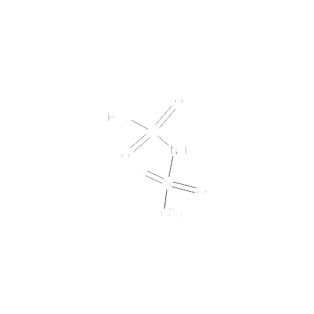 CCCCS(=O)(=O)NS(C)(=O)=O